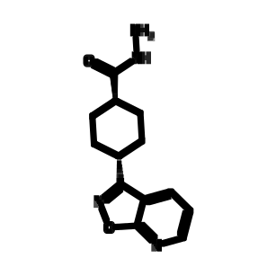 NNC(=O)[C@H]1CC[C@H](c2noc3ncccc32)CC1